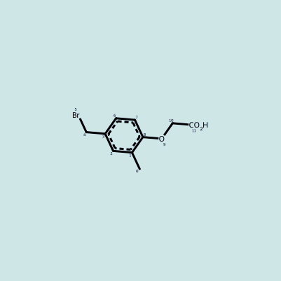 Cc1cc(CBr)ccc1OCC(=O)O